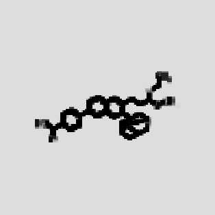 CCOC(CCc1cc2ccc(-c3ccc(C(=O)O)cc3)cc2cc1C12CC3CC(CC(C3)C1)C2)OC